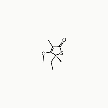 CC[C@@]1(C)SC(=O)C(C)=C1OC